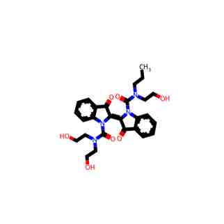 CCCN(CCO)C(=O)N1/C(=C2\C(=O)c3ccccc3N2C(=O)N(CCO)CCO)C(=O)c2ccccc21